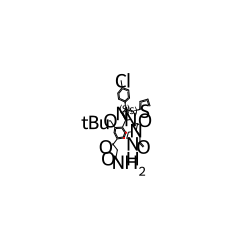 CC(C)(C)Oc1cc(C(=O)CC(N)=O)ccc1C1=N[C@@H](c2ccc(Cl)cc2)[C@@H](c2cccs2)N1C(=O)N1CCNC(=O)C1